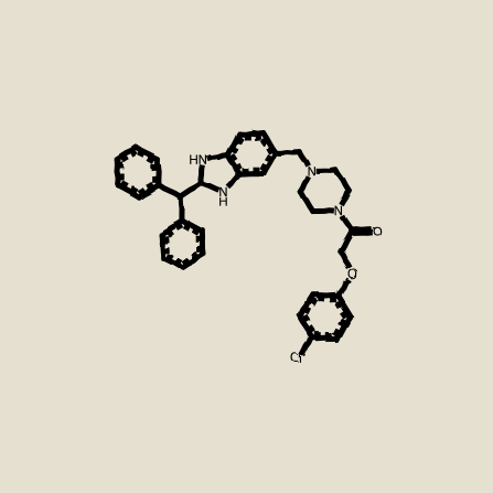 O=C(COc1ccc(Cl)cc1)N1CCN(Cc2ccc3c(c2)NC(C(c2ccccc2)c2ccccc2)N3)CC1